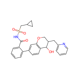 O=C(NS(=O)(=O)CC1CC1)c1ccccc1-c1ccc2c(c1)OCC(Cc1ccccn1)C2O